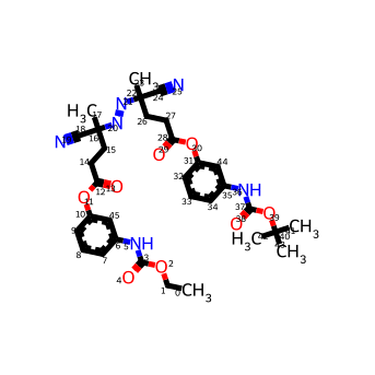 CCOC(=O)Nc1cccc(OC(=O)CCC(C)(C#N)/N=N/C(C)(C#N)CCC(=O)Oc2cccc(NC(=O)OC(C)(C)C)c2)c1